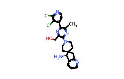 Cc1nc(N2CCC3(CC2)Cc2ncccc2[C@H]3N)c(CO)nc1-c1ccnc(Cl)c1Cl